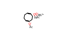 C1=C\CC/C=C\CC/1.CC(=O)[O-].CC(=O)[O-].CC(=O)[O-].[Rh+3]